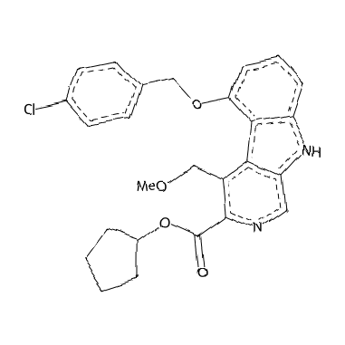 COCc1c(C(=O)OC2CCCC2)ncc2[nH]c3cccc(OCc4ccc(Cl)cc4)c3c12